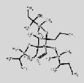 C=C[Si](O[Si](C)(C)C(C)CC)(C(C)(CCC)O[Si](C)(C)C(C)(C)CC)C(CC)(CC)O[Si](C)(C)C(C)C